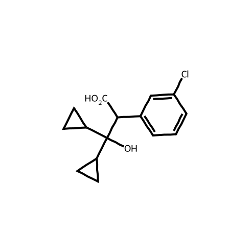 O=C(O)C(c1cccc(Cl)c1)C(O)(C1CC1)C1CC1